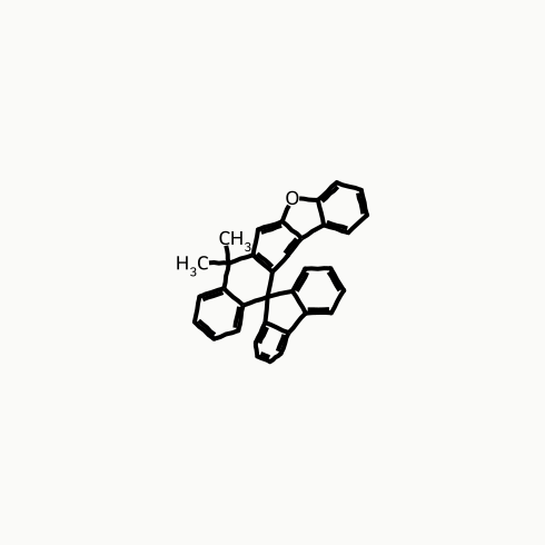 CC1(C)c2ccccc2C2(c3ccccc3-c3ccccc32)c2cc3c(cc21)oc1ccccc13